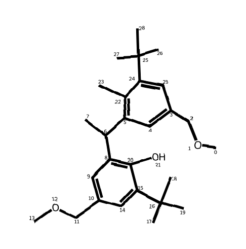 COCc1cc(C(C)c2cc(COC)cc(C(C)(C)C)c2O)c(C)c(C(C)(C)C)c1